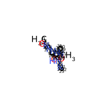 CCC(=O)N1CCN(c2ccc3c(=O)c(C(=O)NCCN4CCCC4)c4n(C)c5ccccc5n4c3n2)CC1